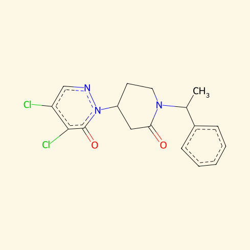 CC(c1ccccc1)N1CCC(n2ncc(Cl)c(Cl)c2=O)CC1=O